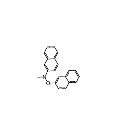 CN(Oc1ccc2ccccc2c1)c1ccc2ccccc2c1